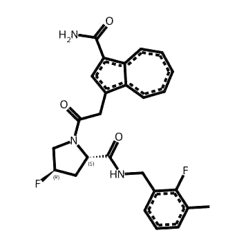 Cc1cccc(CNC(=O)[C@@H]2C[C@@H](F)CN2C(=O)Cc2cc(C(N)=O)c3cccccc2-3)c1F